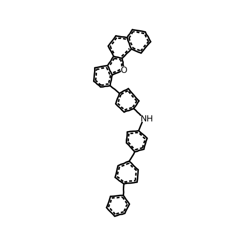 c1ccc(-c2ccc(-c3ccc(Nc4ccc(-c5cccc6c5oc5c7ccccc7ccc65)cc4)cc3)cc2)cc1